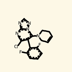 Fc1cccc(F)c1-c1c(Cl)nc2ncnn2c1N1CC=CCC1